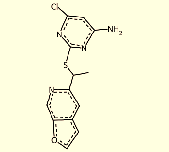 CC(Sc1nc(N)cc(Cl)n1)c1cc2ccoc2cn1